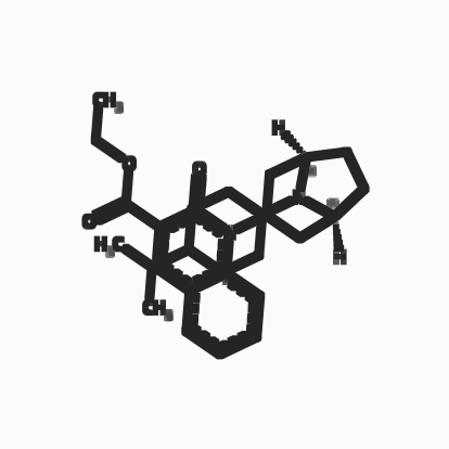 CCOC(=O)c1nc2ccccc2n(C2C[C@H]3CC[C@@H](C2)N3C2CCC(C(C)C)CC2)c1=O